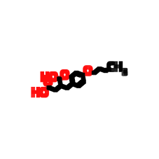 CCCCOc1ccc(CC(CC(=O)O)C(=O)O)cc1